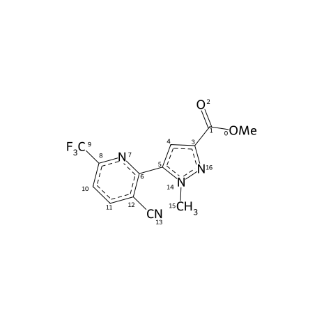 COC(=O)c1cc(-c2nc(C(F)(F)F)ccc2C#N)n(C)n1